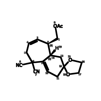 CC(=O)OC[C@@H]1C=CCC(C#N)(C#N)C2=CCC3(C[C@H]21)OCCO3